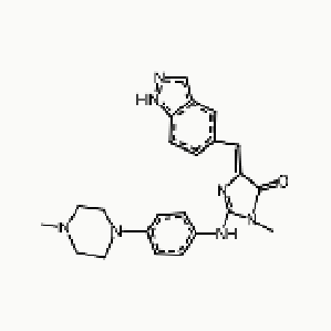 CN1CCN(c2ccc(NC3=N/C(=C\c4ccc5[nH]ncc5c4)C(=O)N3C)cc2)CC1